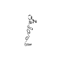 COCCOCCOCC(=O)OCCn1cnc2ccccc21